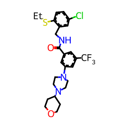 CCSc1ccc(Cl)cc1CNC(=O)c1cc(N2CCN(C3CCOCC3)CC2)cc(C(F)(F)F)c1